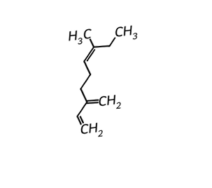 C=CC(=C)CCC=C(C)CC